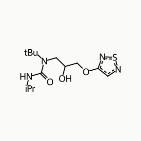 CC(C)NC(=O)N(CC(O)COc1cnsn1)C(C)(C)C